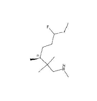 CCC(F)CC[C@H](C)C(C)(C)CNC